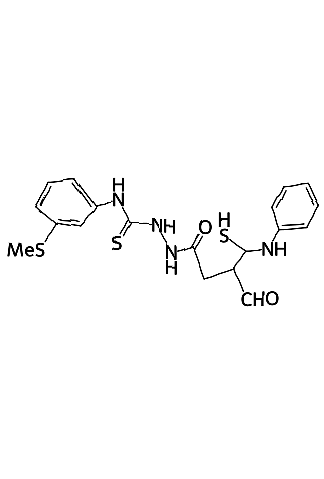 CSc1cccc(NC(=S)NNC(=O)CC(C=O)C(S)Nc2ccccc2)c1